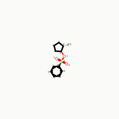 O=S(=O)(O[C@H]1CCC[C@@H]1F)c1ccccc1